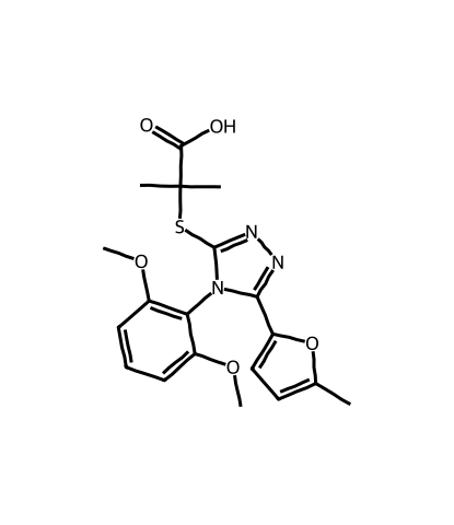 COc1cccc(OC)c1-n1c(SC(C)(C)C(=O)O)nnc1-c1ccc(C)o1